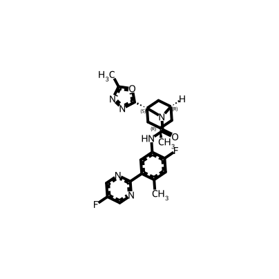 Cc1nnc([C@]23C[C@H](C)C[C@H](C2)N3C(=O)Nc2cc(-c3ncc(F)cn3)c(C)cc2F)o1